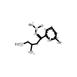 CCOC(=O)CC(C/C(=N/[S+]([O-])C(C)(C)C)c1cccc(Br)n1)C(F)(F)F